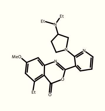 CCc1cc(OC)cc2nc(-c3cccnc3N3CCC(N(CC)CC)C3)oc(=O)c12